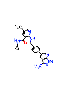 Nc1n[nH]c2ncc(-c3ccc(CNc4ncc(C(F)(F)F)cc4C(=O)NC4CC4)cc3)cc12